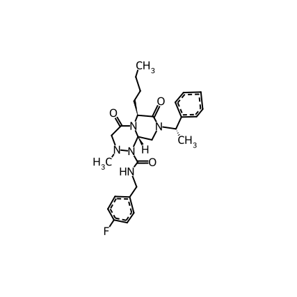 CCCC[C@H]1C(=O)N([C@@H](C)c2ccccc2)C[C@H]2N1C(=O)CN(C)N2C(=O)NCc1ccc(F)cc1